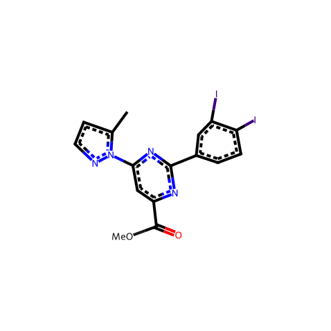 COC(=O)c1cc(-n2nccc2C)nc(-c2ccc(I)c(I)c2)n1